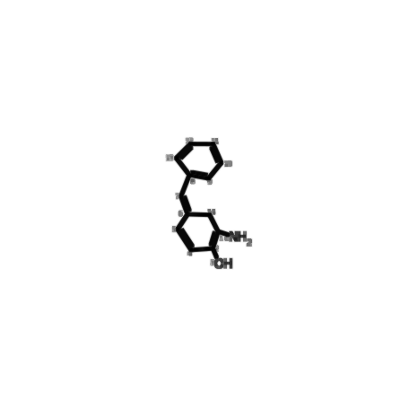 NC1=C(O)C=CC(=Cc2ccccc2)C1